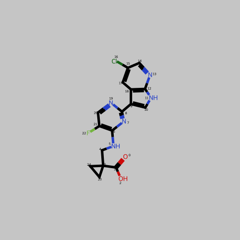 O=C(O)C1(CNc2nc(-c3c[nH]c4ncc(Cl)cc34)ncc2F)CC1